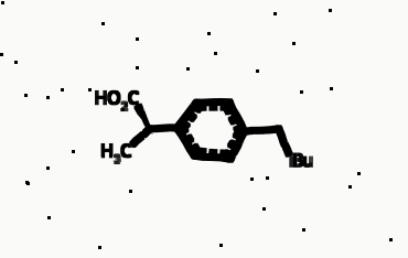 CCC(C)Cc1ccc([C@@H](C)C(=O)O)cc1